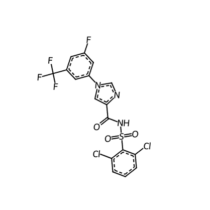 O=C(NS(=O)(=O)c1c(Cl)cccc1Cl)c1cn(-c2cc(F)cc(C(F)(F)F)c2)cn1